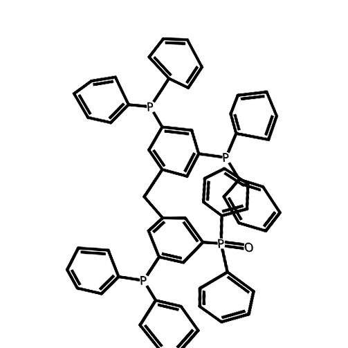 O=P(c1ccccc1)(c1ccccc1)c1cc(Cc2cc(P(c3ccccc3)c3ccccc3)cc(P(c3ccccc3)c3ccccc3)c2)cc(P(c2ccccc2)c2ccccc2)c1